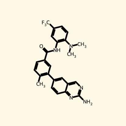 Cc1ccc(C(=O)Nc2cc(C(F)(F)F)ccc2N(C)C)cc1-c1ccc2nc(N)ncc2c1